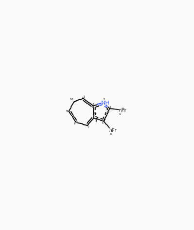 CCCc1[nH]c2c(c1CCC)=CC=CCC=2